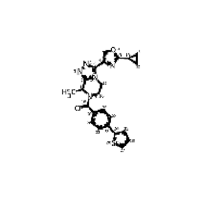 CC1c2nnc(-c3coc(C4CC4)n3)n2CCN1C(=O)c1ccc(-c2cccs2)cc1